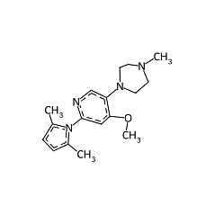 COc1cc(-n2c(C)ccc2C)ncc1N1CCN(C)CC1